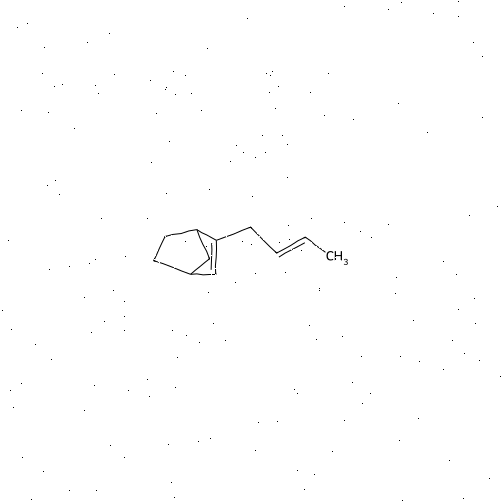 CC=CCC1=CC2CCC1C2